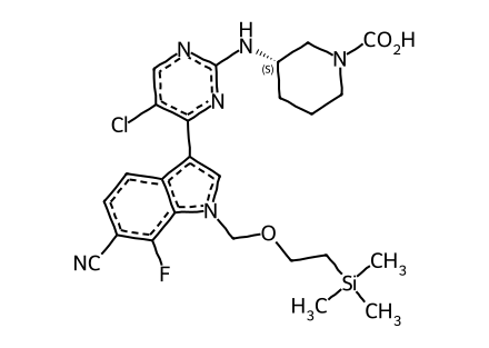 C[Si](C)(C)CCOCn1cc(-c2nc(N[C@H]3CCCN(C(=O)O)C3)ncc2Cl)c2ccc(C#N)c(F)c21